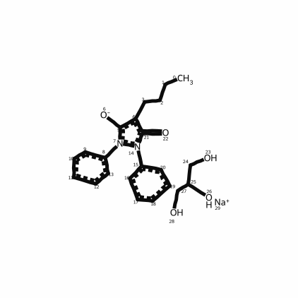 CCCCc1c([O-])n(-c2ccccc2)n(-c2ccccc2)c1=O.OCC(O)CO.[Na+]